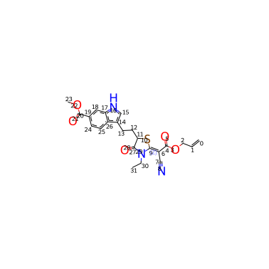 C=CCOC(=O)/C(C#N)=C1\SC(CCc2c[nH]c3cc(C(=O)OC)ccc23)C(=O)N1CC